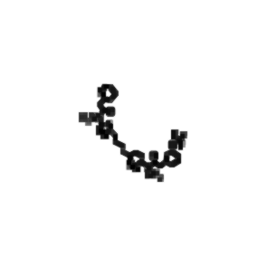 NN(C(=O)Cc1cccc(OC(F)(F)F)c1)c1ccc(CCCCc2nnc(N(N)C(=O)Cc3ccccn3)s2)nn1